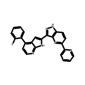 Fc1ccccc1-c1ccnc2[nH]c(-c3n[nH]c4ccc(-c5ccccn5)nc34)cc12